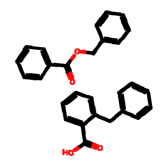 O=C(O)c1ccccc1Cc1ccccc1.O=C(OCc1ccccc1)c1ccccc1